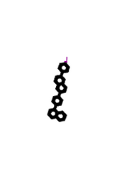 Ic1ccc(-c2ccc3cc(-c4ccc(-c5cccc6ccccc56)cc4)ccc3c2)cc1